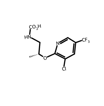 C[C@H](CNC(=O)O)Oc1ncc(C(F)(F)F)cc1Cl